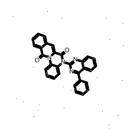 O=c1c2cc3ccccc3c(=O)n2c2ccccc2n1-c1nc(-c2ccccc2)c2ccccc2n1